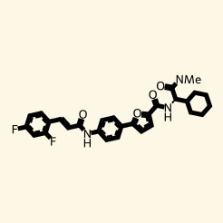 CNC(=O)[C@@H](NC(=O)c1ccc(-c2ccc(NC(=O)/C=C/c3ccc(F)cc3F)cc2)o1)C1CCCCC1